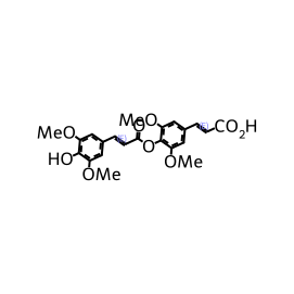 COc1cc(/C=C/C(=O)Oc2c(OC)cc(/C=C/C(=O)O)cc2OC)cc(OC)c1O